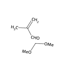 C=C(C)C=O.COCOC